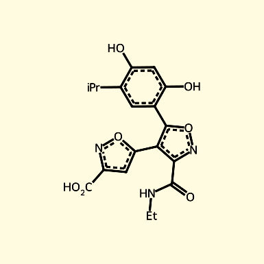 CCNC(=O)c1noc(-c2cc(C(C)C)c(O)cc2O)c1-c1cc(C(=O)O)no1